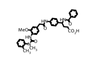 COc1cc(CC(=O)Nc2ccc(C(CCC(=O)O)NC(=O)c3ccccc3)cc2)ccc1NC(=O)N(C)c1ccccc1C